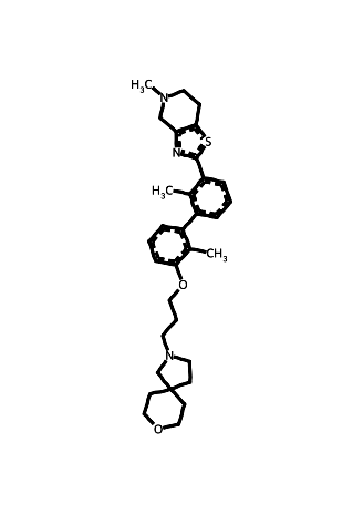 Cc1c(OCCCN2CCC3(CCOCC3)C2)cccc1-c1cccc(-c2nc3c(s2)CCN(C)C3)c1C